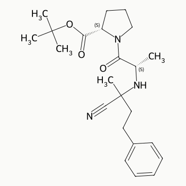 C[C@H](NC(C)(C#N)CCc1ccccc1)C(=O)N1CCC[C@H]1C(=O)OC(C)(C)C